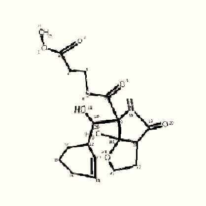 COC(=O)CCSC(=O)C1(C(O)C2C=CCCC2)NC(=O)C2CCOC21C